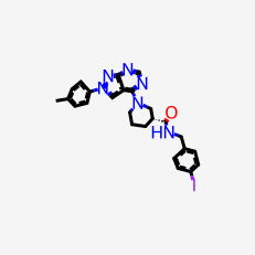 Cc1ccc(-n2cc3c(N4CCC[C@@H](C(=O)NCc5ccc(I)cc5)C4)ncnc3n2)cc1